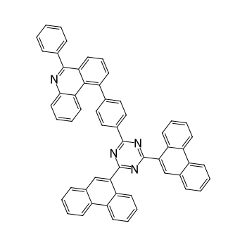 c1ccc(-c2nc3ccccc3c3c(-c4ccc(-c5nc(-c6cc7ccccc7c7ccccc67)nc(-c6cc7ccccc7c7ccccc67)n5)cc4)cccc23)cc1